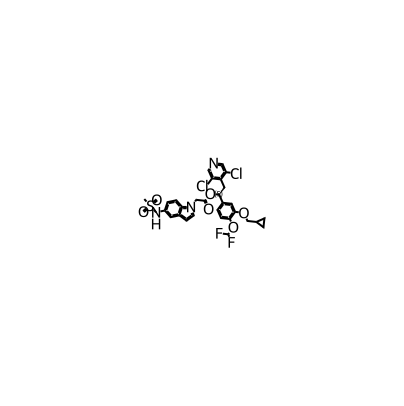 CS(=O)(=O)Nc1ccc2c(ccn2CC(=O)O[C@@H](Cc2c(Cl)cncc2Cl)c2ccc(OC(F)F)c(OCC3CC3)c2)c1